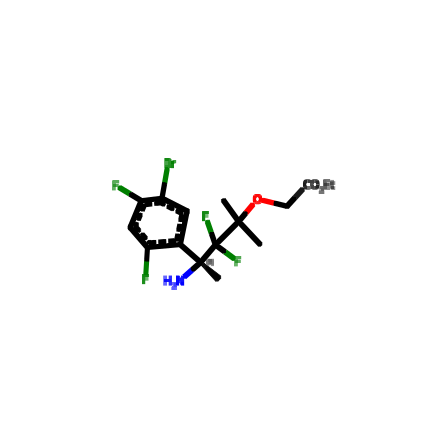 CCOC(=O)COC(C)(C)C(F)(F)[C@](C)(N)c1cc(Br)c(F)cc1F